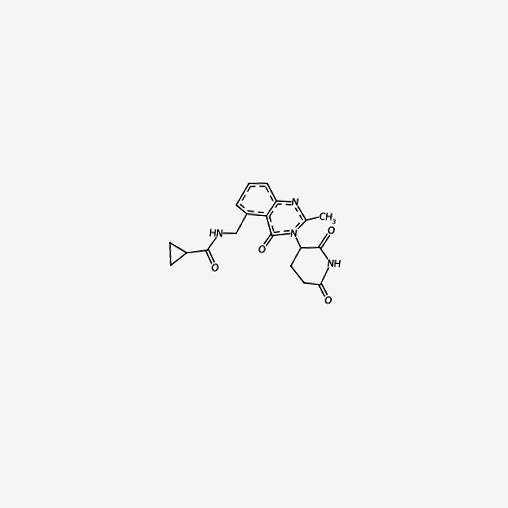 Cc1nc2cccc(CNC(=O)C3CC3)c2c(=O)n1C1CCC(=O)NC1=O